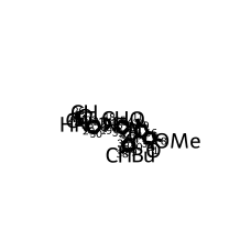 CC[C@@H](C)Oc1cc2c(cc1OC)CC(=O)N(c1ccc(N(C)C[C@H]3CC[C@H](NS(C)(=O)=O)CC3)cc1)C2c1ccc(Cl)cc1